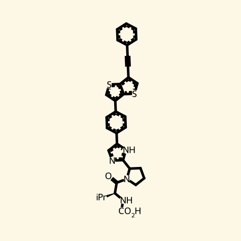 CC(C)[C@H](NC(=O)O)C(=O)N1CCCC1c1ncc(-c2ccc(-c3csc4c(C#Cc5ccccc5)csc34)cc2)[nH]1